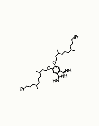 CC(C)CCCC(C)CCCC(C)CCOc1cc2c(cc1OCCC(C)CCCC(C)CCCC(C)C)C(=N)NC2=N